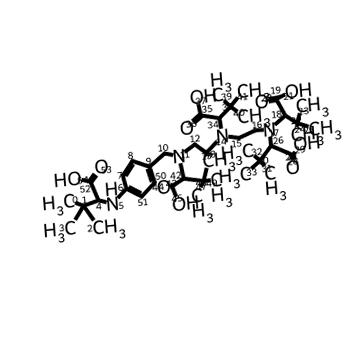 CC(C)(C)C(Nc1ccc(CN(CCN(CCN(C(C(=O)O)C(C)(C)C)C(C(=O)O)C(C)(C)C)C(C(=O)O)C(C)(C)C)C(C(=O)O)C(C)(C)C)cc1)C(=O)O